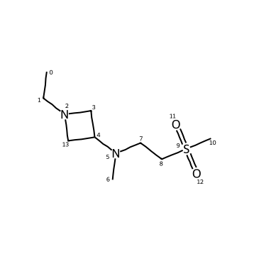 CCN1CC(N(C)CCS(C)(=O)=O)C1